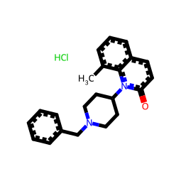 Cc1cccc2ccc(=O)n(C3CCN(Cc4ccccc4)CC3)c12.Cl